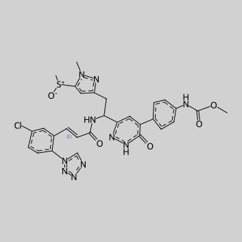 COC(=O)Nc1ccc(-c2cc(C(Cc3cc([S+](C)[O-])n(C)n3)NC(=O)/C=C/c3cc(Cl)ccc3-n3cnnn3)n[nH]c2=O)cc1